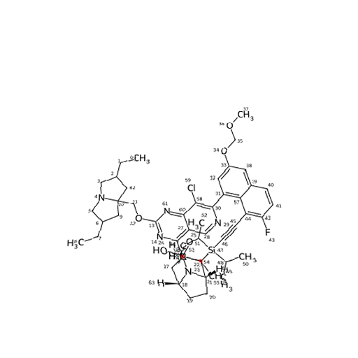 CCC1CN2CC(CC)CC2(COc2nc(N3C[C@H]4CC[C@@H](C3)N4C(=O)O)c3cnc(-c4cc(OCOC)cc5ccc(F)c(C#C[Si](C(C)C)(C(C)C)C(C)C)c45)c(Cl)c3n2)C1